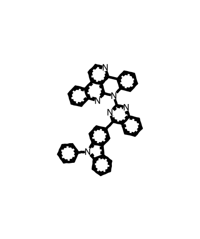 c1ccc(-n2c3ccccc3c3cc(-c4nc(N5c6ccccc6-c6nccc7c6c5nc5ccccc57)nc5ccccc45)ccc32)cc1